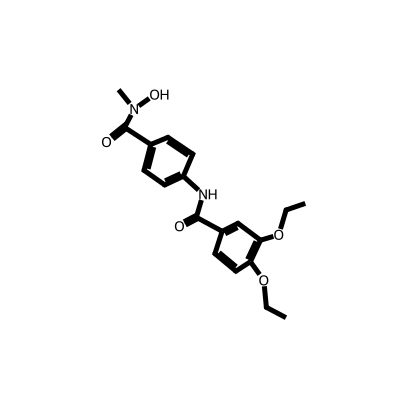 CCOc1ccc(C(=O)Nc2ccc(C(=O)N(C)O)cc2)cc1OCC